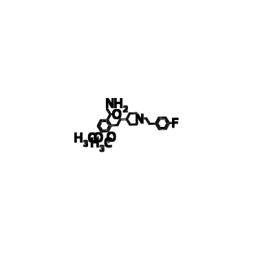 COc1ccc2c(c1OC)CC(C1CCN(CCc3ccc(F)cc3)CC1)OC2CN